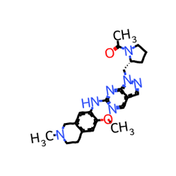 COc1cc2c(cc1Nc1ncc3cnn(C[C@H]4CCCN4C(C)=O)c3n1)CN(C)CC2